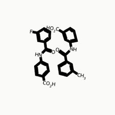 Cc1cccc(C(=O)Nc2cccc(C(=O)O)c2)c1.O=C(O)c1ccc(NC(=O)c2cccc(F)c2)cc1